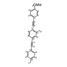 COc1ccc(C#Cc2ccc(C#Cc3ccc(C)cc3)cc2C)cc1